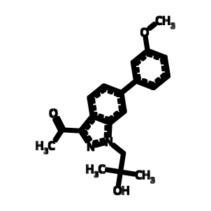 COc1cccc(-c2ccc3c(C(C)=O)nn(CC(C)(C)O)c3c2)c1